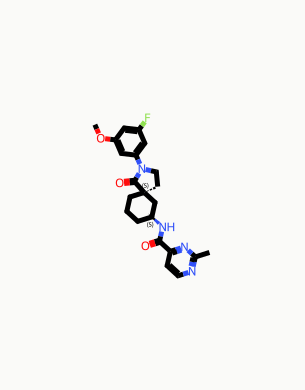 COc1cc(F)cc(N2CC[C@]3(CCC[C@H](NC(=O)c4ccnc(C)n4)C3)C2=O)c1